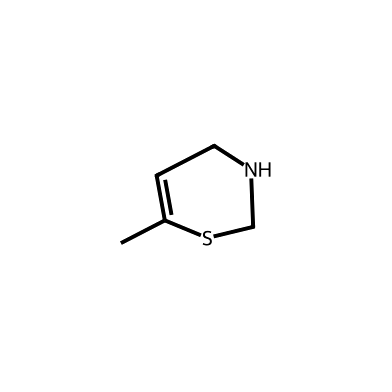 CC1=CCNCS1